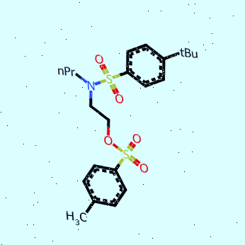 CCCN(CCOS(=O)(=O)c1ccc(C)cc1)S(=O)(=O)c1ccc(C(C)(C)C)cc1